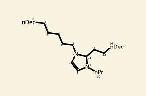 CCCCCCCCCCCCCCCN1C=CN(CCC)C1CCCCCCCCCCCC